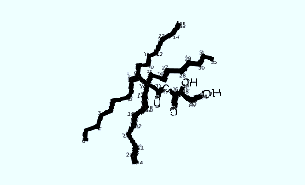 CCCCCCCCC(CCCCCCC)C(CCCCCCCC)(CCCCCCCC)C(=O)OC(=O)C(O)CO